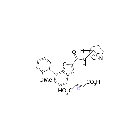 COc1ccccc1-c1cccc2cc(C(=O)N[C@H]3CN4CCC3CC4)oc12.O=C(O)/C=C/C(=O)O